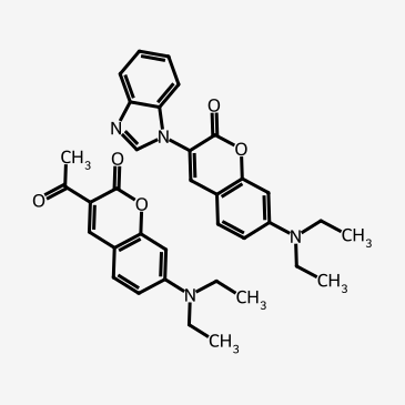 CCN(CC)c1ccc2cc(-n3cnc4ccccc43)c(=O)oc2c1.CCN(CC)c1ccc2cc(C(C)=O)c(=O)oc2c1